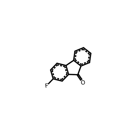 O=C1c2ccccc2-c2ccc(F)cc21